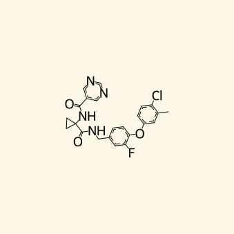 Cc1cc(Oc2ccc(CNC(=O)C3(NC(=O)c4cncnc4)CC3)cc2F)ccc1Cl